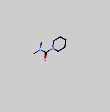 CN(C)C(=O)N1CCCCC1